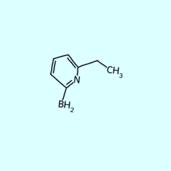 Bc1cccc(CC)n1